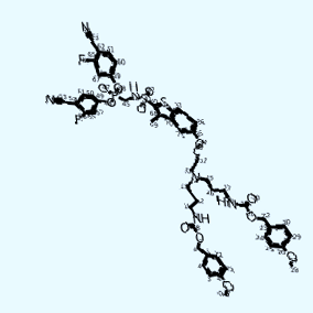 COc1ccc(COC(=O)NCCCN(CCCNC(=O)OCc2ccc(OC)cc2)CCCOc2ccc3sc(S(=O)(=O)NCP(=O)(Oc4ccc(C#N)c(F)c4)Oc4ccc(C#N)c(F)c4)c(C)c3c2)cc1